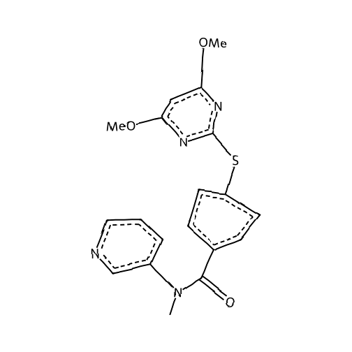 COc1cc(OC)nc(Sc2ccc(C(=O)N(C)c3cccnc3)cc2)n1